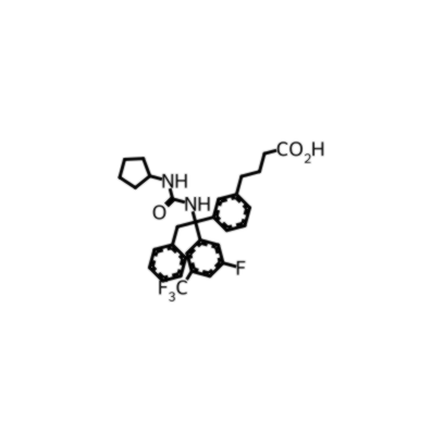 O=C(O)CCCc1cccc(C(Cc2ccccc2)(NC(=O)NC2CCCC2)c2cc(F)cc(C(F)(F)F)c2)c1